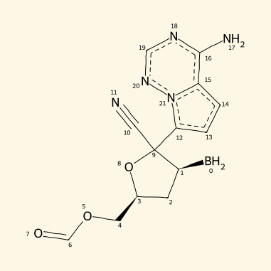 B[C@H]1C[C@@H](COC=O)OC1(C#N)c1ccc2c(N)ncnn12